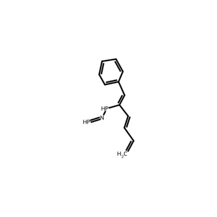 C=CC=CC(=Cc1ccccc1)PN=P